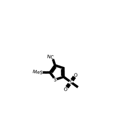 CSc1sc(S(C)(=O)=O)cc1C#N